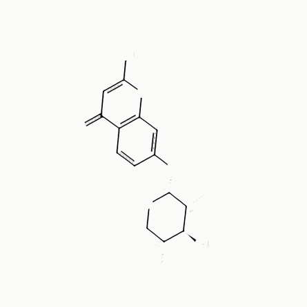 Cc1cc(=O)c2ccc(O[C@H]3SC[C@@H](O)[C@H](O)[C@H]3O)cc2o1